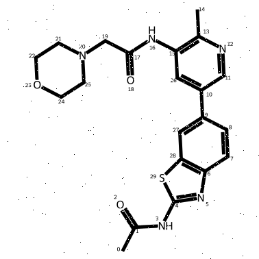 CC(=O)Nc1nc2ccc(-c3cnc(C)c(NC(=O)CN4CCOCC4)c3)cc2s1